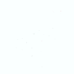 N#CC1CC(COc2c(F)cc(CCC(=O)O)cc2F)=C(c2ccc(Cl)cc2)C1